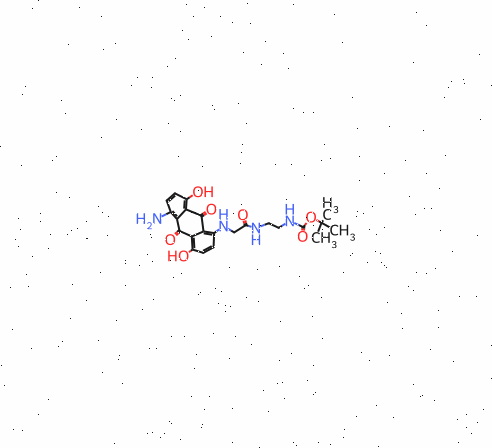 CC(C)(C)OC(=O)NCCNC(=O)CNc1ccc(O)c2c1C(=O)c1c(O)ccc(N)c1C2=O